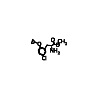 COC(=O)[C@@H](N)Cc1cc(Cl)ccc1OC1CC1